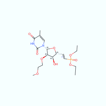 CCOP(=O)(/C=C/[C@H]1O[C@@H](n2cc(C)c(=O)[nH]c2=O)[C@H](OCCOC)[C@@H]1O)OCC